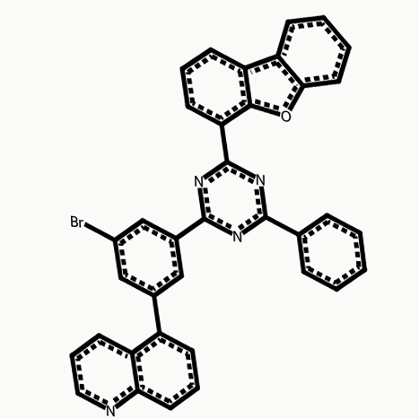 Brc1cc(-c2nc(-c3ccccc3)nc(-c3cccc4c3oc3ccccc34)n2)cc(-c2cccc3ncccc23)c1